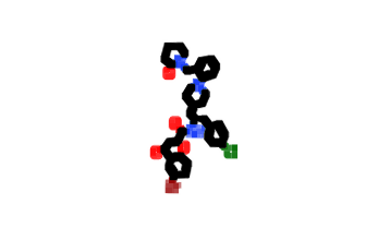 O=C(N[C@@H](C=C1CCN(c2ccccc2CN2CCCCC2=O)CC1)Cc1ccc(Cl)cc1)c1cc(=O)c2cc(Br)ccc2o1